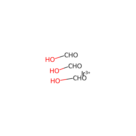 O=[C-]O.O=[C-]O.O=[C-]O.[Ir+3]